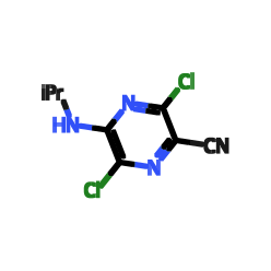 CC(C)Nc1nc(Cl)c(C#N)nc1Cl